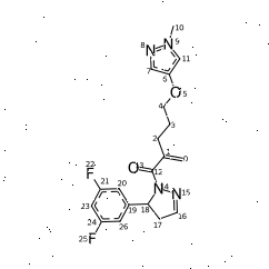 C=C(CCCOc1cnn(C)c1)C(=O)N1N=CCC1c1cc(F)cc(F)c1